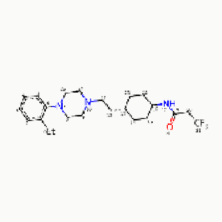 CCc1ccccc1N1CCN(CC[C@H]2CC[C@H](NC(=O)CC(F)(F)F)CC2)CC1